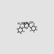 CC(C)=C(OC(=C(C)C)c1ccccc1)c1ccccc1